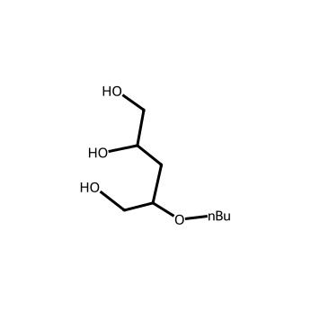 CCCCOC(CO)CC(O)CO